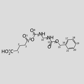 O=C(O)CCCC(=O)OC(=O)NCNC(=O)OCc1ccccc1